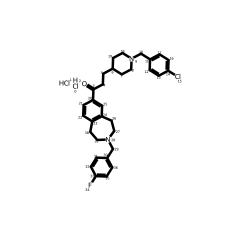 Cl.Cl.O=C(CCC1CCN(Cc2ccc(Cl)cc2)CC1)c1ccc2c(c1)CCN(Cc1ccc(F)cc1)CC2